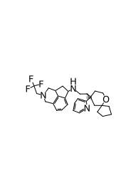 FC(F)(F)CN1Cc2cccc3c2C(CC3NCC[C@@]2(c3ccccn3)CCOC3(CCCC3)C2)C1